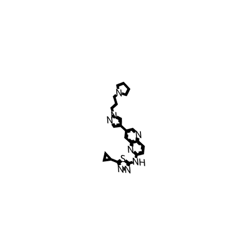 c1nc2ccc(Nc3nnc(C4CC4)s3)nc2cc1-c1cnn(CCCN2CCCC2)c1